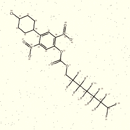 O=C(OCC(F)(F)C(F)(F)C(F)(F)C(F)(F)C(F)(F)C(F)F)Oc1cc([N+](=O)[O-])c(C2CCC(Cl)CC2)cc1[N+](=O)[O-]